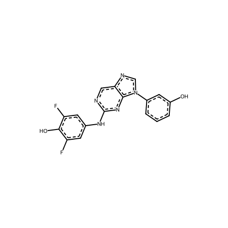 Oc1cccc(-n2cnc3cnc(Nc4cc(F)c(O)c(F)c4)nc32)c1